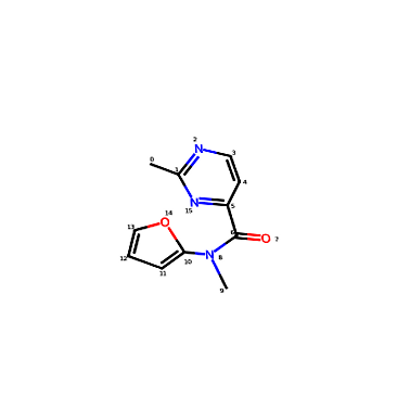 Cc1nccc(C(=O)N(C)c2ccco2)n1